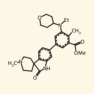 CCN(c1cc(-c2ccc3c(c2)NC(=O)C32CCN(C)CC2)cc(C(=O)OC)c1C)C1CCOCC1